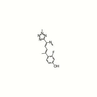 C=N/C(=C\C=C(/C)c1ccc(O)cc1F)c1nnn(C)n1